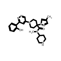 Cc1cnn(C2(C(=O)N(C)C3CCNCC3)CCN(c3cnnc(-c4ccccc4O)c3)CC2)c1